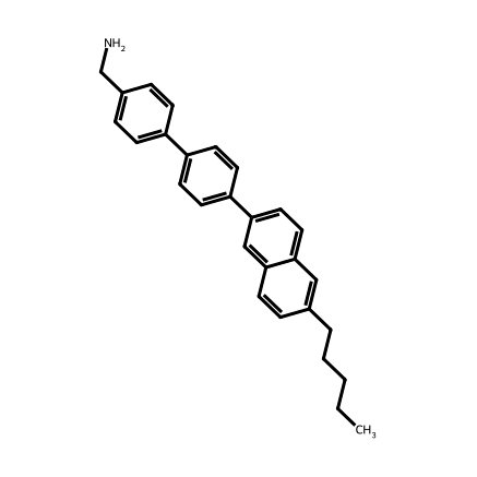 CCCCCc1ccc2cc(-c3ccc(-c4ccc(CN)cc4)cc3)ccc2c1